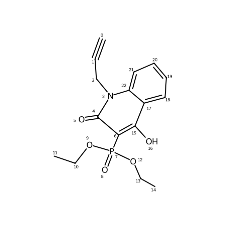 C#CCn1c(=O)c(P(=O)(OCC)OCC)c(O)c2ccccc21